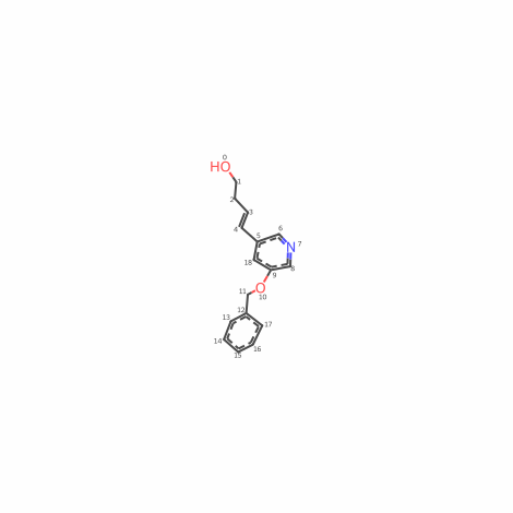 OCC/C=C/c1cncc(OCc2ccccc2)c1